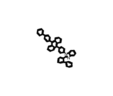 c1ccc(-c2ccc(-c3c4ccccc4c(-c4ccc(-n5c(-c6ccccc6-c6ccccc6)nc6ccccc65)cc4)c4ccccc34)cc2)cc1